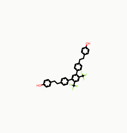 Oc1ccc(CCc2ccc(-c3cc(-c4ccc(CCc5ccc(O)cc5)cc4)c(C(F)(F)F)cc3C(F)(F)F)cc2)cc1